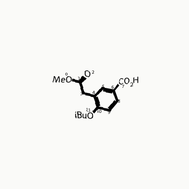 COC(=O)Cc1cc(C(=O)O)ccc1OCC(C)C